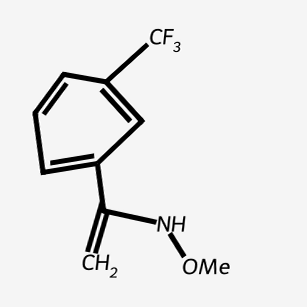 [CH2]ONC(=C)c1cccc(C(F)(F)F)c1